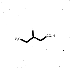 O=C(O)CC(F)CC(F)(F)F